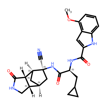 COc1cccc2[nH]c(C(=O)N[C@@H](CC3CC3)C(=O)N[C@@]3(C#N)C[C@@H]4C[C@H]3[C@H]3C(=O)NC[C@@H]43)cc12